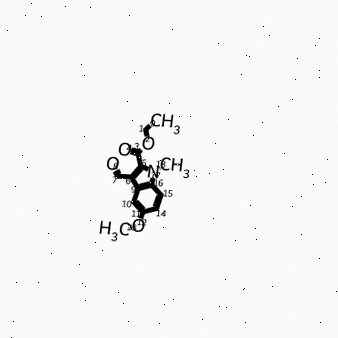 CCOC(=O)c1c(C=O)c2cc(OC)ccc2n1C